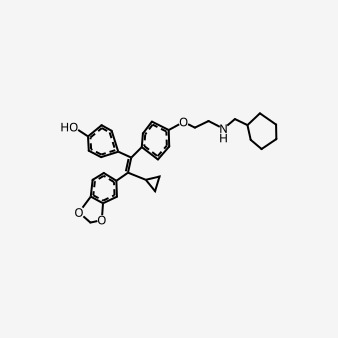 Oc1ccc(/C(=C(\c2ccc3c(c2)OCO3)C2CC2)c2ccc(OCCNCC3CCCCC3)cc2)cc1